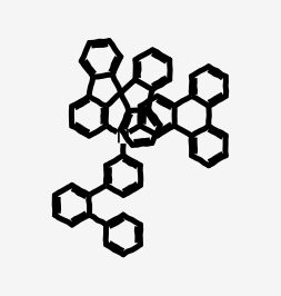 c1ccc(-c2ccccc2-c2cccc(N(c3ccc4c5ccccc5c5ccccc5c4c3)c3cccc4c3C3(c5ccccc5-c5ccccc53)c3ccccc3-4)c2)cc1